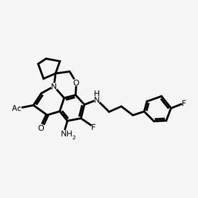 CC(=O)c1cn2c3c(c(NCCCc4ccc(F)cc4)c(F)c(N)c3c1=O)OCC21CCCC1